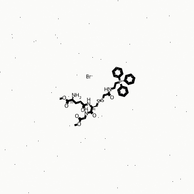 COC(=O)CNC(=O)[C@H](CSSCC(=O)NCC[P+](c1ccccc1)(c1ccccc1)c1ccccc1)NC(=O)CC[C@H](N)C(=O)OC.[Br-]